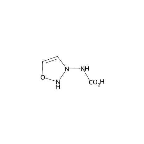 O=C(O)NN1C=CON1